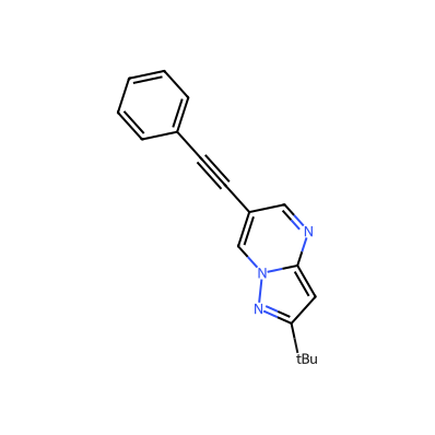 CC(C)(C)c1cc2ncc(C#Cc3ccccc3)cn2n1